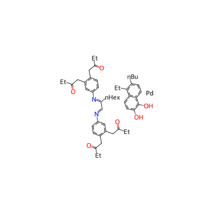 CCCCCCC(C=Nc1ccc(CC(=O)CC)c(CC(=O)CC)c1)=Nc1ccc(CC(=O)CC)c(CC(=O)CC)c1.CCCCc1ccc2c(O)c(O)ccc2c1CC.[Pd]